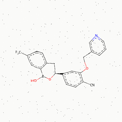 N#Cc1ccc([C@@H]2Cc3ccc(C(F)(F)F)cc3B(O)O2)cc1OCc1cccnc1